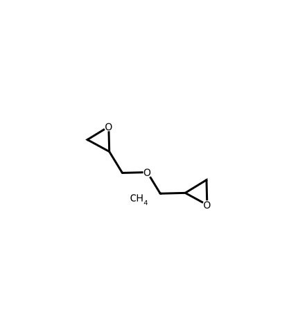 C.C(OCC1CO1)C1CO1